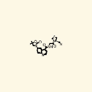 CC1(C)CN(c2ccc3nccc(C(=O)NCC(=O)N4CSC[C@H]4C#N)c3c2)C(=O)O1